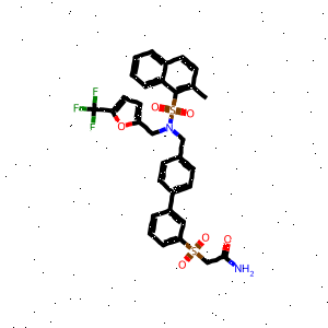 Cc1ccc2ccccc2c1S(=O)(=O)N(Cc1ccc(-c2cccc(S(=O)(=O)CC(N)=O)c2)cc1)Cc1ccc(C(F)(F)F)o1